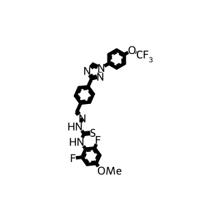 COc1cc(F)c(NC(=S)N/N=C/c2ccc(-c3ncn(-c4ccc(OC(F)(F)F)cc4)n3)cc2)c(F)c1